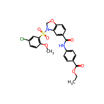 CCOC(=O)c1ccc(NC(=O)c2ccc3c(c2)N(S(=O)(=O)c2cc(Cl)ccc2OC)CO3)cc1